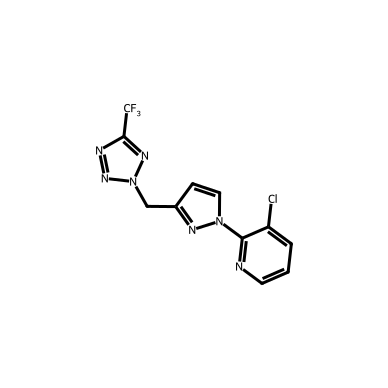 FC(F)(F)c1nnn(Cc2ccn(-c3ncccc3Cl)n2)n1